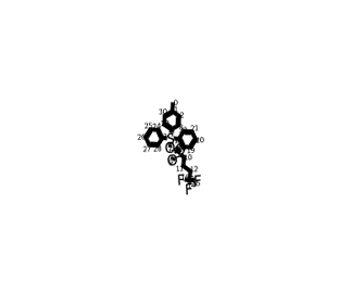 Cc1ccc(S(OS(=O)(=O)CCCC(F)(F)F)(c2ccccc2)c2ccccc2)cc1